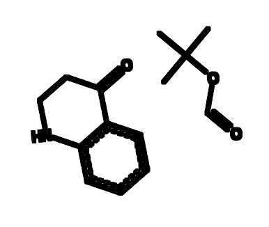 CC(C)(C)OC=O.O=C1CCNc2ccccc21